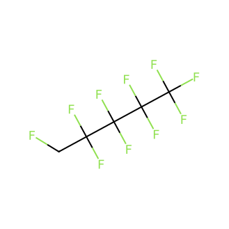 FCC(F)(F)C(F)(F)C(F)(F)C(F)(F)F